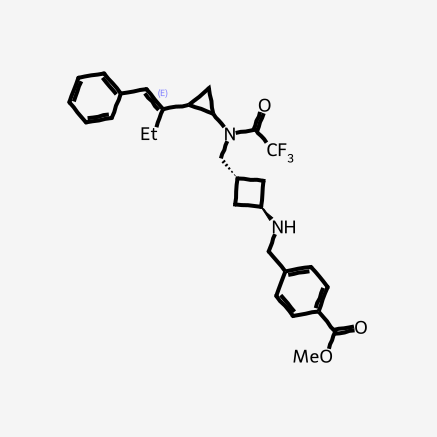 CC/C(=C\c1ccccc1)C1CC1N(C[C@H]1C[C@H](NCc2ccc(C(=O)OC)cc2)C1)C(=O)C(F)(F)F